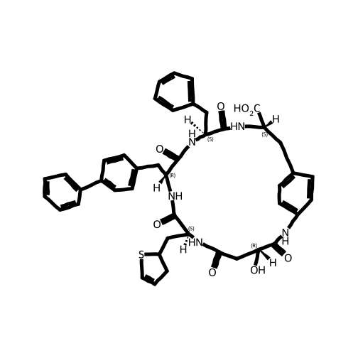 O=C1C[C@@H](O)C(=O)Nc2ccc(cc2)C[C@@H](C(=O)O)NC(=O)[C@H](Cc2ccccc2)NC(=O)[C@@H](Cc2ccc(-c3ccccc3)cc2)NC(=O)[C@H](CC2CC=CS2)N1